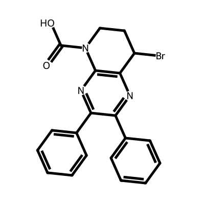 O=C(O)N1CCC(Br)c2nc(-c3ccccc3)c(-c3ccccc3)nc21